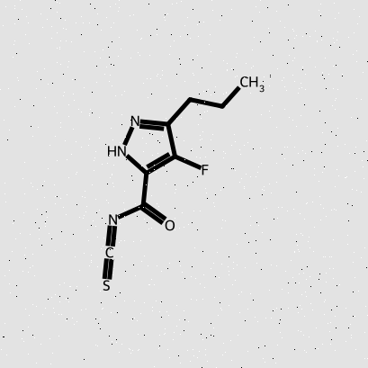 CCCc1n[nH]c(C(=O)N=C=S)c1F